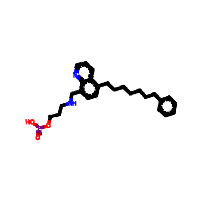 O=[PH](O)OCCCNCc1ccc(CCCCCCCc2ccccc2)c2cccnc12